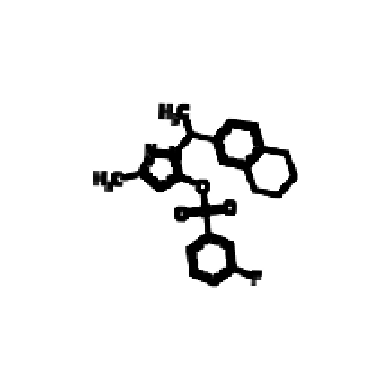 Cc1cc(OS(=O)(=O)c2cccc(F)c2)n(C(C)c2ccc3c(c2)CCCC3)n1